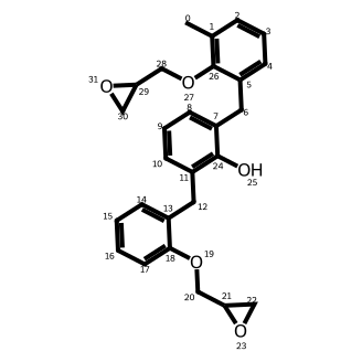 Cc1cccc(Cc2cccc(Cc3ccccc3OCC3CO3)c2O)c1OCC1CO1